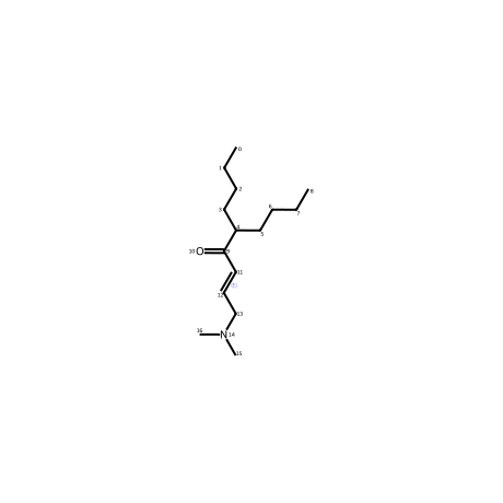 CCCCC(CCCC)C(=O)/C=C/CN(C)C